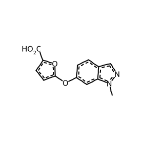 Cn1ncc2ccc(Oc3ccc(C(=O)O)o3)cc21